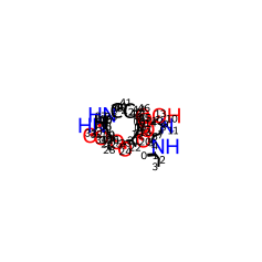 C=C(CC)NCC1CC(N(C)C)C(O)C(O[C@@H]2[C@@H](C)C(=O)C(C)C(=O)O[C@H](CC)[C@@]3(C)OC(=O)N[C@@H]3[C@@H](C)NC[C@H](C)C[C@@]2(C)OC)O1